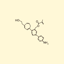 C=C(C)C(=O)OCc1cc(-c2ccc(N)cc2)ccc1C1=CC=C(CCO)C=CC1